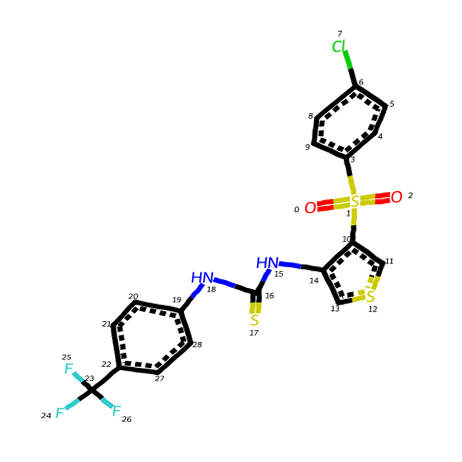 O=S(=O)(c1ccc(Cl)cc1)c1cscc1NC(=S)Nc1ccc(C(F)(F)F)cc1